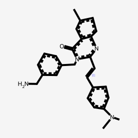 Cc1ccc2nc(/C=C/c3ccc(N(C)C)cc3)n(Cc3cccc(CN)c3)c(=O)c2c1